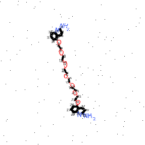 Nc1ccc2c(OCCOCCOCCOCCOCCOCCOc3cccc4nc(N)ccc34)cccc2n1